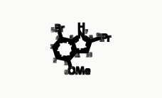 COc1ccc(Br)c2[nH]c(C(C)C)cc12